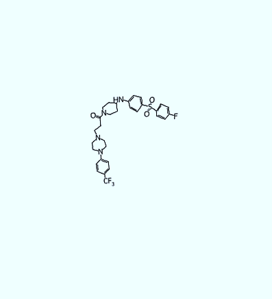 O=C(CCN1CCN(c2ccc(C(F)(F)F)cc2)CC1)N1CCC(Nc2ccc(S(=O)(=O)c3ccc(F)cc3)cc2)CC1